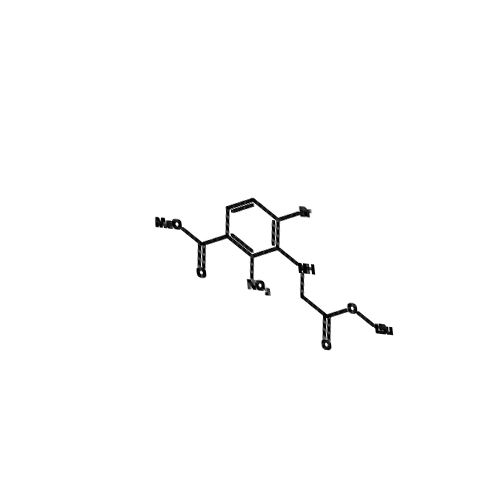 COC(=O)c1ccc(Br)c(NCC(=O)OC(C)(C)C)c1[N+](=O)[O-]